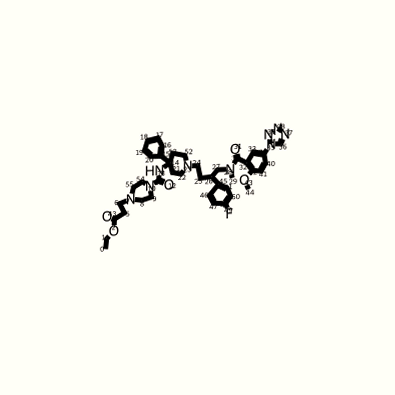 CCOC(=O)CCN1CCN(C(=O)NC2(c3ccccc3)CCN(CCC(CN(C)C(=O)c3cc(-n4cnnn4)ccc3OC)c3ccc(F)cc3)CC2)CC1